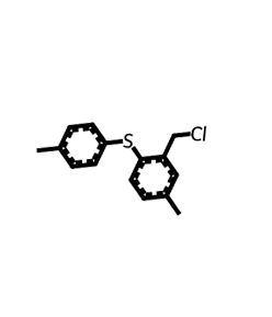 Cc1ccc(Sc2ccc(C)cc2CCl)cc1